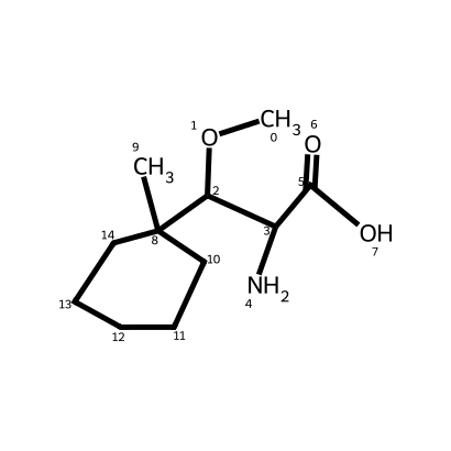 COC(C(N)C(=O)O)C1(C)CCCCC1